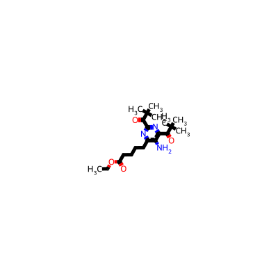 CCOC(=O)CCCCc1nc(C(=O)C(C)(C)C)nc(C(=O)C(C)(C)C)c1N